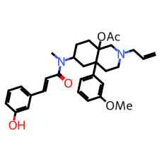 C=CCN1CCC2(c3cccc(OC)c3)CC(N(C)C(=O)/C=C/c3cccc(O)c3)CCC2(OC(C)=O)C1